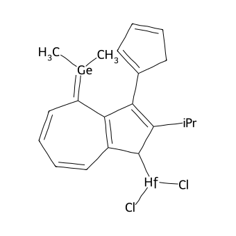 CC(C)C1=C(C2=CC=CC2)C2=C(C=CC=C[C]2=[Ge]([CH3])[CH3])[CH]1[Hf]([Cl])[Cl]